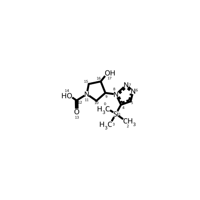 C[Si](C)(C)c1cnnn1C1CN(C(=O)O)CC1O